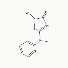 CC(C)C1SC(N(C)c2ccccn2)=NC1=O